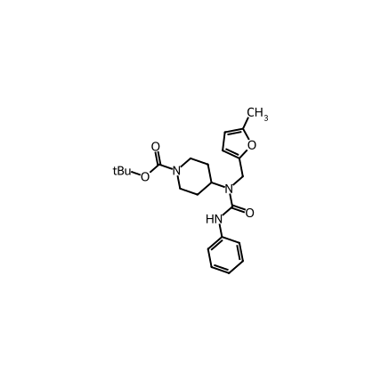 Cc1ccc(CN(C(=O)Nc2ccccc2)C2CCN(C(=O)OC(C)(C)C)CC2)o1